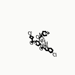 COC1CC(C(=O)N2CC[C@H](NC(=O)c3cc4cc(Cl)ccc4[nH]3)[C@H](NC(=O)c3nc4c(s3)CN(C)CC4)C2)C1